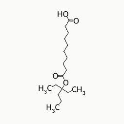 CCCC(CC)(CC)OC(=O)CCCCCCCCC(=O)O